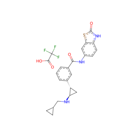 O=C(Nc1ccc2[nH]c(=O)sc2c1)c1cccc([C@@H]2C[C@H]2NCC2CC2)c1.O=C(O)C(F)(F)F